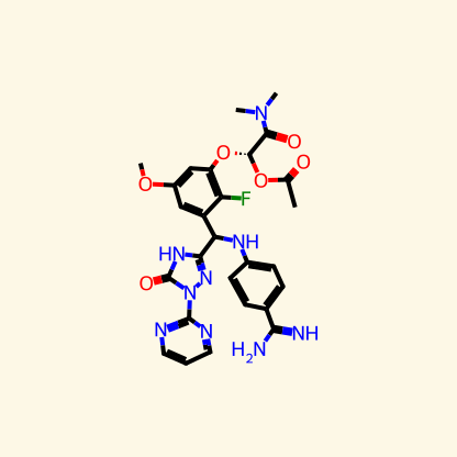 COc1cc(O[C@@H](OC(C)=O)C(=O)N(C)C)c(F)c(C(Nc2ccc(C(=N)N)cc2)c2nn(-c3ncccn3)c(=O)[nH]2)c1